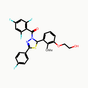 COc1c(OCCO)cccc1C1SC(c2ccc(F)cc2)=NN1C(=O)c1c(F)cc(F)cc1F